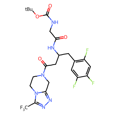 CC(C)(C)OC(=O)NCC(=O)NC(CC(=O)N1CCn2c(nnc2C(F)(F)F)C1)Cc1cc(F)c(F)cc1F